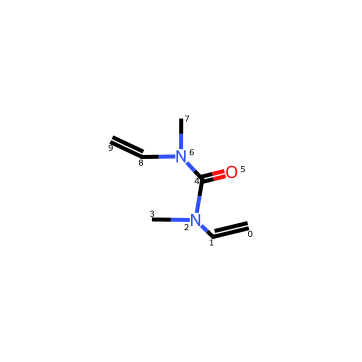 C=CN(C)C(=O)N(C)C=C